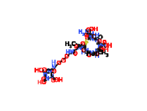 CCCC[C@H](NC(=O)CCC(=O)NCCCOCCOCCOCCCNC(=O)CN1CCN(CC(=O)O)CCN(CC(=O)O)CCN(CC(=O)O)CC1)C(=O)N[C@H]1CSSC[C@@H](C(=O)N[C@@H](CC(=O)O)C(N)=O)NC(=O)[C@H](Cc2ccccc2)NC(=O)[C@H](CCC(=O)O)NC(=O)[C@H]([C@@H](C)O)NC(=O)[C@@H]2CCCN2C(=O)[C@@H]2CCCN2C1=O